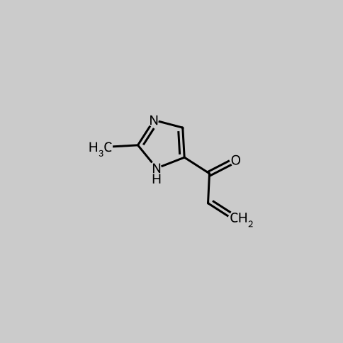 C=CC(=O)c1cnc(C)[nH]1